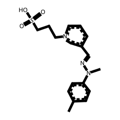 Cc1ccc(N(C)N=Cc2ccc[n+](CCCS(=O)(=O)O)c2)cc1